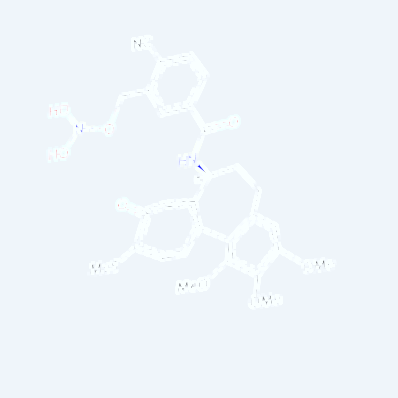 COc1cc2c(c(OC)c1OC)-c1ccc(SC)c(=O)cc1[C@@H](NC(=O)c1ccc(C#N)c(CON(O)O)c1)CC2